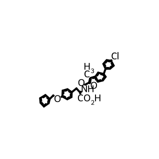 Cc1c(C(=O)NC(Cc2ccc(OCc3ccccc3)cc2)C(=O)O)oc2ccc(-c3ccc(Cl)cc3)cc12